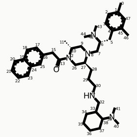 Cc1ccc(C[C@H](CN2C[C@@H](C)N(C(=O)Cc3ccc4ccccc4c3)C[C@@H]2CCCNCC2CCCCC2N(C)C)N(C)C)c(C)c1